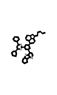 C=C/C=C\C=C1/CC2C=CC=C3C(c4cc(-c5nc(-c6ccccc6)cc(-c6ccccc6)n5)cc(-c5ccnc6c5sc5ccccc56)c4)=CC=C1C32